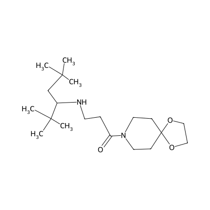 CC(C)(C)CC(NCCC(=O)N1CCC2(CC1)OCCO2)C(C)(C)C